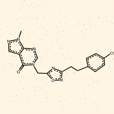 Cn1ncc2c(=O)n(Cc3nc(CCc4ccc(Cl)cc4)no3)cnc21